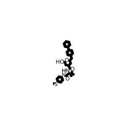 CSc1ccc(NC(=O)C(NC(=O)C(CCCc2ccc(-c3ccccc3)cc2)CC(=O)O)C(C)(C)C)cc1